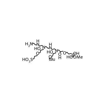 CO[Si](O)(O)CCCOCC(O)CN(CCNCCN(CCNCCN)CC(O)COCCCS(=O)(=O)O)CC(O)COC(C)(C)C